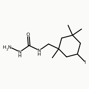 CC1(C)CC(I)CC(C)(CNC(=O)NN)C1